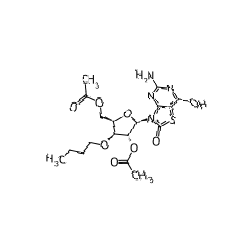 CCCCO[C@@H]1[C@@H](OC(C)=O)[C@H](n2c(=O)sc3c(O)nc(N)nc32)O[C@@H]1COC(C)=O